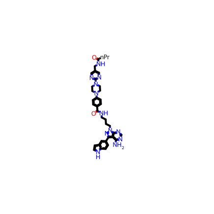 CCCC(=O)NCc1cnc(N2CCN(c3ccc(C(=O)NCCCCn4nc(-c5ccc6[nH]ccc6c5)c5c(N)ncnc54)cc3)CC2)nc1